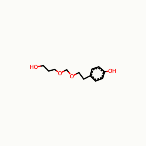 OCCCOCOCCc1ccc(O)cc1